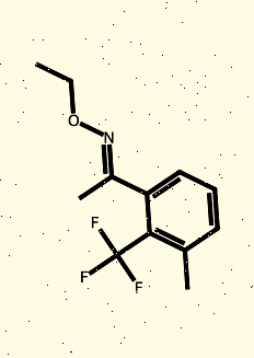 CCO/N=C(\C)c1cccc(C)c1C(F)(F)F